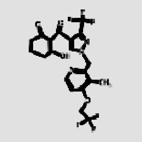 Cc1c(OCC(F)(F)F)ccnc1Cn1cc(C(=O)C2=C(O)CCCC2=O)c(C(F)(F)F)n1